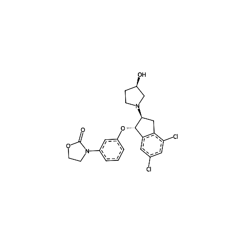 O=C1OCCN1c1cccc(O[C@H]2c3cc(Cl)cc(Cl)c3C[C@@H]2N2CC[C@@H](O)C2)c1